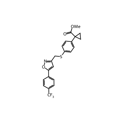 COC(=O)C1(c2ccc(SCc3cc(-c4ccc(C(F)(F)F)cc4)on3)cc2)CC1